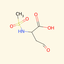 CS(=O)(=O)NC(CC=O)C(=O)O